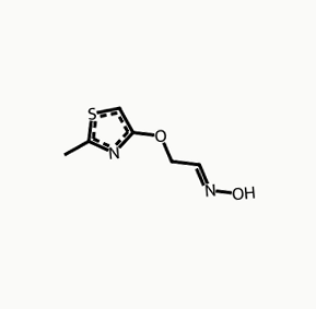 Cc1nc(OCC=NO)cs1